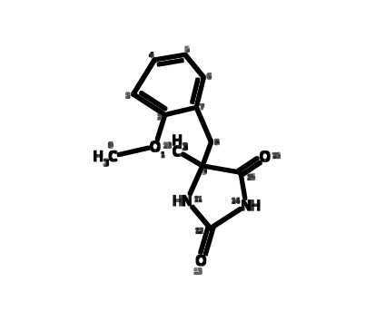 COc1ccccc1CC1(C)NC(=O)NC1=O